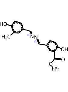 CCCOC(=O)c1cc(/C=N/N=C/c2ccc(O)c(C)c2)ccc1O